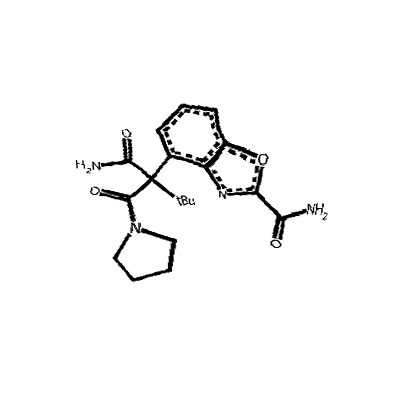 CC(C)(C)C(C(N)=O)(C(=O)N1CCCC1)c1cccc2oc(C(N)=O)nc12